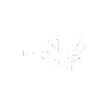 Cc1cc(F)c(C(=O)N2CCC[C@@H](C)[C@H]2CNc2nc3ccc(F)cc3o2)c(-c2ncccn2)c1